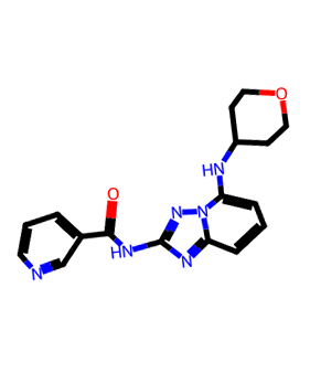 O=C(Nc1nc2cccc(NC3CCOCC3)n2n1)c1cccnc1